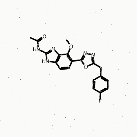 COc1c(-c2nnc(Cc3ccc(F)cc3)o2)ccc2[nH]c(NC(C)=O)nc12